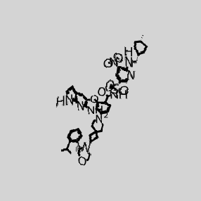 CC(C)c1ccccc1[C@@H]1COCCN1C1CC2(CCN(c3ccc(C(=O)NS(=O)(=O)c4cnc(NC[C@H]5CC[C@@H](C)CC5)c([N+](=O)[O-])c4)c(Oc4cc5cc[nH]c5nc4N)c3)CC2)C1